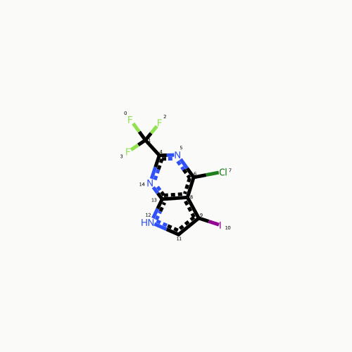 FC(F)(F)c1nc(Cl)c2c(I)c[nH]c2n1